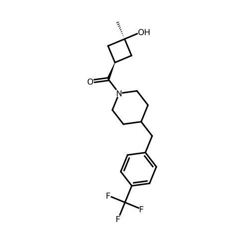 C[C@]1(O)C[C@@H](C(=O)N2CCC(Cc3ccc(C(F)(F)F)cc3)CC2)C1